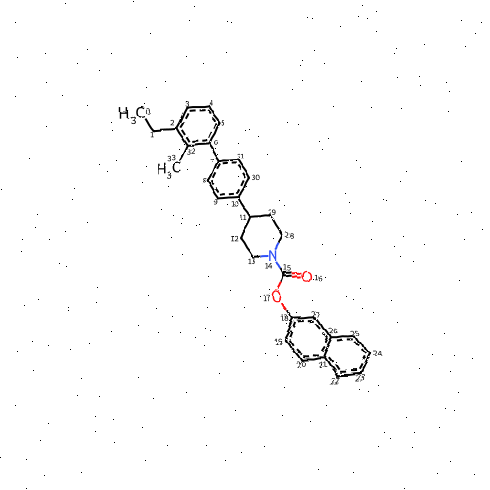 CCc1cccc(-c2ccc(C3CCN(C(=O)Oc4ccc5ccccc5c4)CC3)cc2)c1C